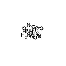 CN(C)C(=O)c1cccc(Oc2nc(Oc3cc(C#N)ccc3OCc3ccccc3)nc(NCc3ccccc3)c2N)c1